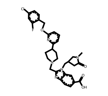 CN1CC(Cn2c(CN3CCC(c4cccc(OCc5ccc(Cl)cc5F)n4)CC3)nc3ccc(C(=O)O)cc32)CC1=O